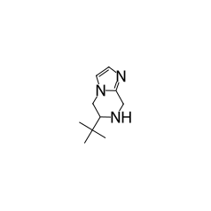 CC(C)(C)C1Cn2ccnc2CN1